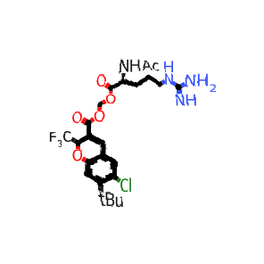 CC(=O)N[C@@H](CCCNC(=N)N)C(=O)OCOC(=O)C1=Cc2cc(Cl)c(C(C)(C)C)cc2OC1C(F)(F)F